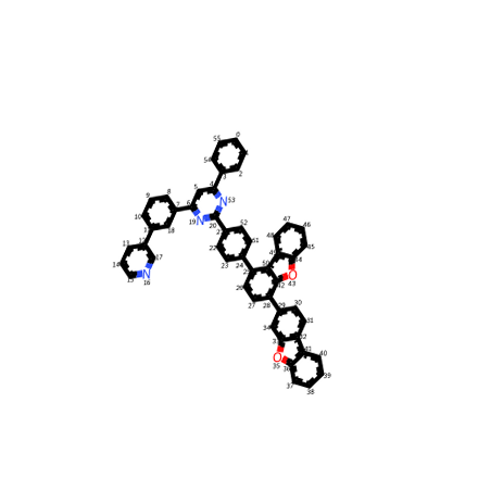 c1ccc(-c2cc(-c3cccc(-c4cccnc4)c3)nc(-c3ccc(-c4ccc(-c5ccc6c(c5)oc5ccccc56)c5oc6ccccc6c45)cc3)n2)cc1